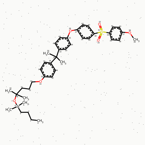 CCCC[Si](C)(C)OC(C)(C)CCCOc1ccc(C(C)(C)c2ccc(Oc3ccc(S(=O)(=O)c4ccc(OC)cc4)cc3)cc2)cc1